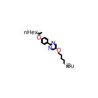 CCCCCC[C@@H](C)Oc1ccc(-c2ncc(OCCCCC[C@@H](C)CC)cn2)cc1